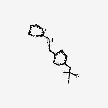 FC(F)(F)Cc1ccc(CNc2ncccn2)cc1